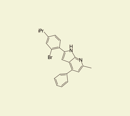 Cc1cc(-c2ccccc2)c2cc(-c3ccc(C(C)C)cc3Br)[nH]c2n1